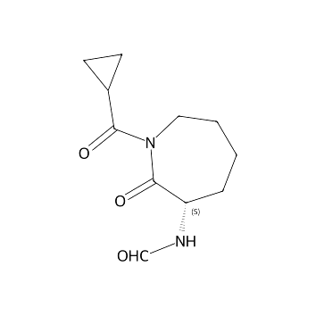 O=CN[C@H]1CCCCN(C(=O)C2CC2)C1=O